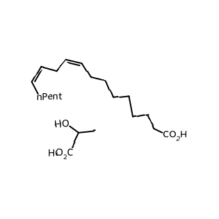 CC(O)C(=O)O.CCCCC/C=C\C/C=C\CCCCCCCC(=O)O